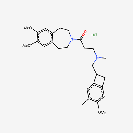 COc1cc2c(cc1C)C(CN(C)CCC(=O)N1CCc3cc(OC)c(OC)cc3CC1)C2.Cl